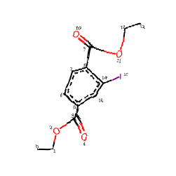 CCOC(=O)c1ccc(C(=O)OCC)c(I)c1